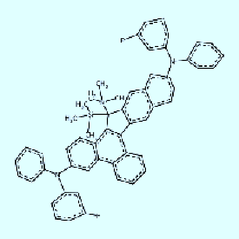 C[Si](C)(C)C1([Si](C)(C)C)c2cc3cc(N(c4ccccc4)c4cccc(F)c4)ccc3cc2-c2c1c1ccc(N(c3ccccc3)c3cccc(F)c3)cc1c1ccccc21